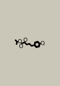 COc1ccc(CCCC(=O)C(=O)OC(C)C)cc1